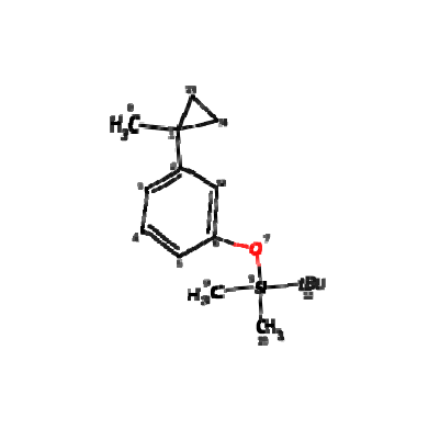 CC1(c2cccc(O[Si](C)(C)C(C)(C)C)c2)CC1